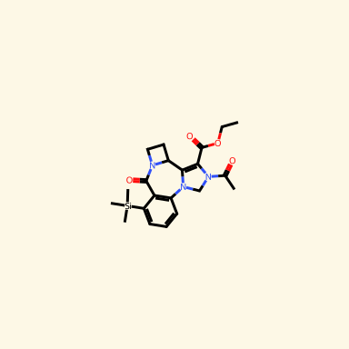 CCOC(=O)C1=C2C3CCN3C(=O)c3c(cccc3[Si](C)(C)C)N2CN1C(C)=O